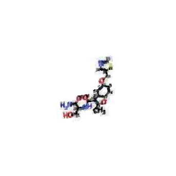 Cc1oc2ccc(OCc3cncs3)cc2c1C(=O)N[C@@H](CO)C(N)=O